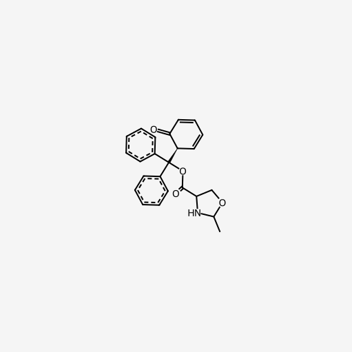 CC1NC(C(=O)OC(c2ccccc2)(c2ccccc2)[C@@H]2C=CC=CC2=O)CO1